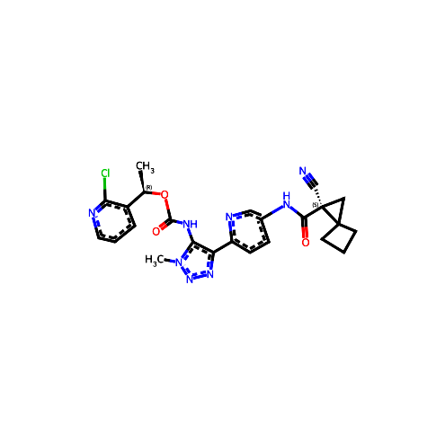 C[C@@H](OC(=O)Nc1c(-c2ccc(NC(=O)[C@@]3(C#N)CC34CCC4)cn2)nnn1C)c1cccnc1Cl